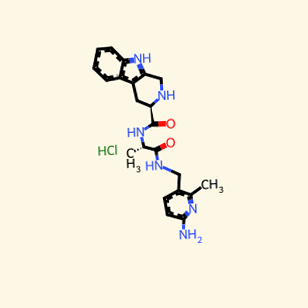 Cc1nc(N)ccc1CNC(=O)[C@H](C)NC(=O)[C@H]1Cc2c([nH]c3ccccc23)CN1.Cl